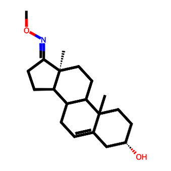 CO/N=C1\CCC2C3CC=C4C[C@@H](O)CCC4(C)C3CC[C@]12C